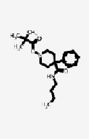 CCCCNC(=O)C1(c2ccccc2)CCN(OC(=O)C(C)(C)C)CC1